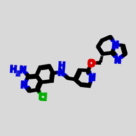 Nc1ncc(Cl)c2cc(NCc3ccnc(OC[C@@H]4CCCn5ccnc54)c3)ccc12